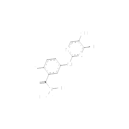 [2H]c1nc(Nc2ccc(F)c(C(=O)N(C)C)c2)ncc1C